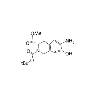 COC(=O)[C@@H]1Cc2cc(N)c(O)cc2CN1C(=O)OC(C)(C)C